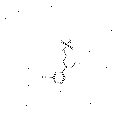 CCN(CCOS(=O)(=O)O)c1cccc(C)c1